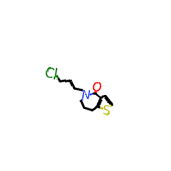 O=C1c2ccsc2CCCN1CCCCCl